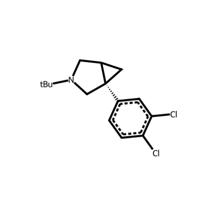 CC(C)(C)N1CC2C[C@@]2(c2ccc(Cl)c(Cl)c2)C1